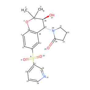 CC1(C)Oc2ccc(S(=O)(=O)c3cccnc3)cc2[C@@H](N2CCCC2=O)[C@@H]1O